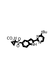 CC(C)(C)c1ccnc(-c2cc3cc(S(=O)(=O)C4(C(=O)O)CC4)ccc3[nH]2)n1